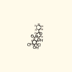 O=C(c1cc(Cl)c(O)c(Cl)c1O)N1C=COC(C2=CC=CCC2)=C1